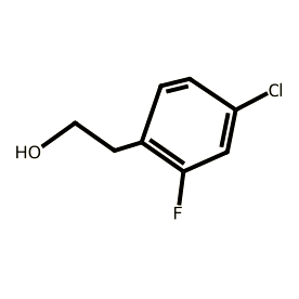 OCCc1ccc(Cl)cc1F